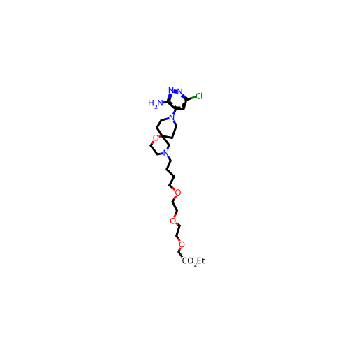 CCOC(=O)COCCOCCOCCCCN1CCOC2(CCN(c3cc(Cl)nnc3N)CC2)C1